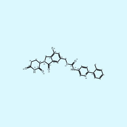 Cc1ccccc1-c1ccc(NC(=O)OCc2cc(F)c3c(c2)C(=O)N(C2CCC(=O)NC2=O)C3)cn1